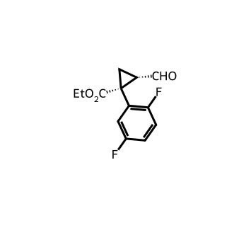 CCOC(=O)[C@]1(c2cc(F)ccc2F)C[C@@H]1C=O